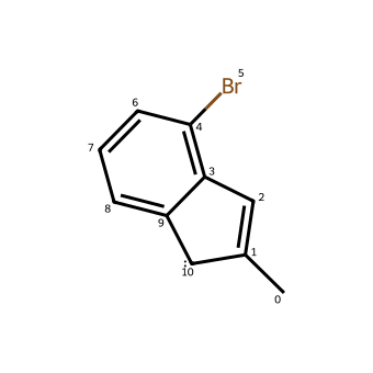 CC1=Cc2c(Br)cccc2[C]1